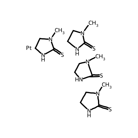 CN1CCNC1=S.CN1CCNC1=S.CN1CCNC1=S.CN1CCNC1=S.[Pt]